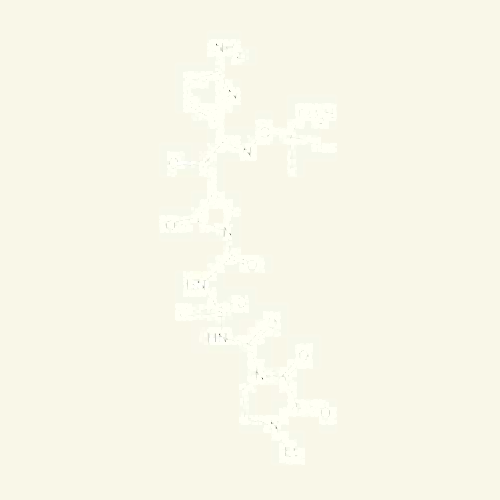 CCN1CCN(C(=O)NS(=O)(=O)NC(=O)N2C[C@@H](C(=O)C(=NOC(C)(C)C(=O)O)c3csc(N)n3)C2=O)C(=O)C1=O